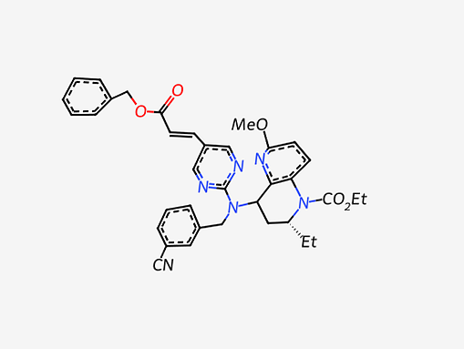 CCOC(=O)N1c2ccc(OC)nc2C(N(Cc2cccc(C#N)c2)c2ncc(/C=C/C(=O)OCc3ccccc3)cn2)C[C@H]1CC